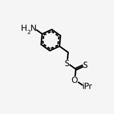 CC(C)OC(=S)SCc1ccc(N)cc1